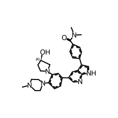 CN1CCN(c2ccc(-c3cnc4[nH]cc(-c5ccc(C(=O)N(C)C)cc5)c4c3)cc2N2CC[C@@H](O)C2)CC1